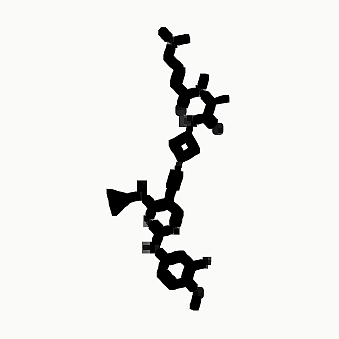 COc1ccc(Nc2ncc(C#C[C@H]3C[C@@H](NC(=O)[C@H](C)N(C)C(=O)/C=C/CN(C)C)C3)c(NC3CC3)n2)cc1F